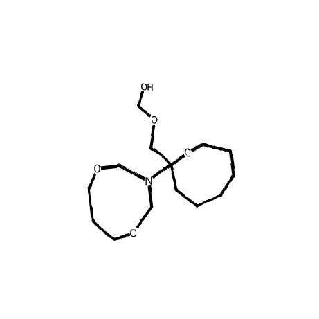 OCOCC1(N2COCCCOC2)CCCCCCC1